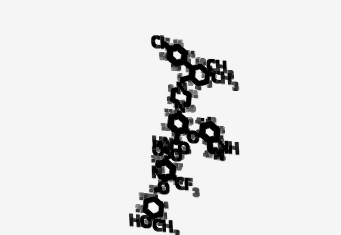 CC1(C)CCC(CN2CCN(c3ccc(C(=O)NS(=O)(=O)c4cnc(OC[C@H]5CC[C@@](C)(O)CC5)c(C(F)(F)F)c4)c(Oc4cccc5[nH]ncc45)c3)CC2)=C(c2ccc(Cl)cc2)C1